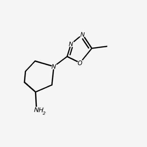 Cc1nnc(N2CCCC(N)C2)o1